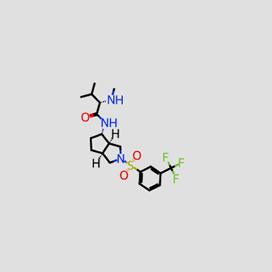 CN[C@H](C(=O)N[C@H]1CC[C@@H]2CN(S(=O)(=O)c3cccc(C(F)(F)F)c3)C[C@@H]21)C(C)C